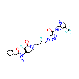 O=C(CC1CCCC1)Nc1ccn(CCC(F)Cn2cc(C(=O)NCc3cc(C(F)(F)F)ccn3)nn2)c(=O)c1F